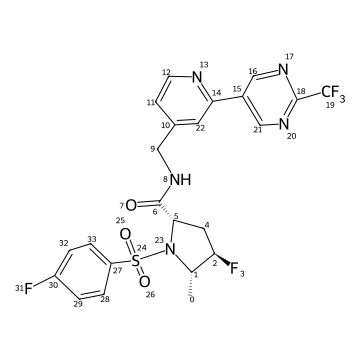 C[C@H]1[C@H](F)C[C@@H](C(=O)NCc2ccnc(-c3cnc(C(F)(F)F)nc3)c2)N1S(=O)(=O)c1ccc(F)cc1